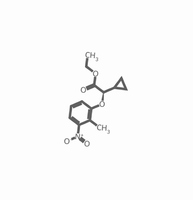 CCOC(=O)[C@H](Oc1cccc([N+](=O)[O-])c1C)C1CC1